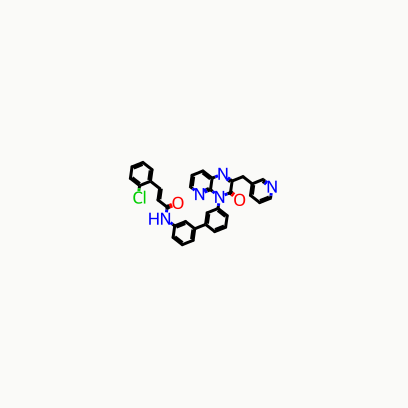 O=C(C=Cc1ccccc1Cl)Nc1cccc(-c2cccc(-n3c(=O)c(Cc4cccnc4)nc4cccnc43)c2)c1